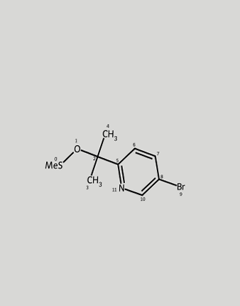 CSOC(C)(C)c1ccc(Br)cn1